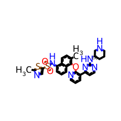 Cc1ncc(S(=O)(=O)Nc2cccc3c(Oc4ncccc4-c4ccnc(N[C@H]5CCCNC5)n4)c(C)ccc23)s1